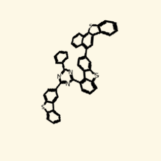 c1ccc(-c2nc(-c3ccc4sc5ccccc5c4c3)nc(-c3cccc4sc5cc(-c6cc7c8ccccc8sc7c7ccccc67)ccc5c34)n2)cc1